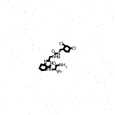 CC(C)[C@H](Nc1nc(CNC(=O)NCc2ccc(Cl)cc2Cl)nc2ccccc12)C(N)=O